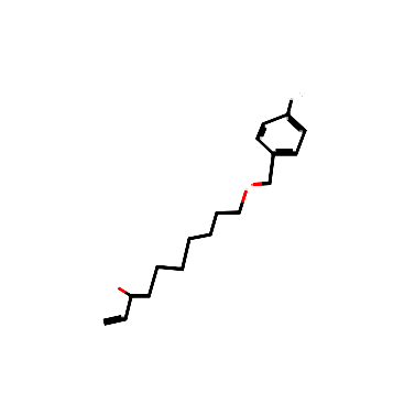 C=CC(O)CCCCCCCOCc1ccc(OC)cc1